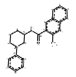 Cc1nc2ccccc2cc1C(=O)NC1CCCN(c2ccccc2)C1